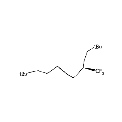 CC(C)(C)CCCC[C@@H](CC(C)(C)C)C(F)(F)F